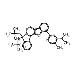 Cc1cnc(-c2cccc3c2oc2c4c(ccc23)C(CC(C)(C)C)(CC(C)(C)C)c2ccccc2-4)cc1C(C)C